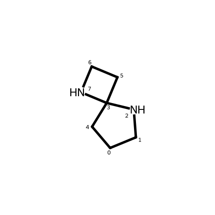 C1CNC2(C1)CCN2